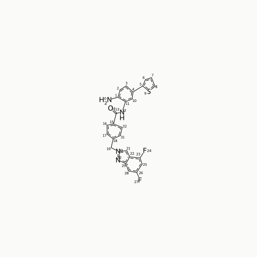 Nc1ccc(-c2cccs2)cc1NC(=O)c1ccc(Cn2cc3c(F)cc(F)cc3n2)cc1